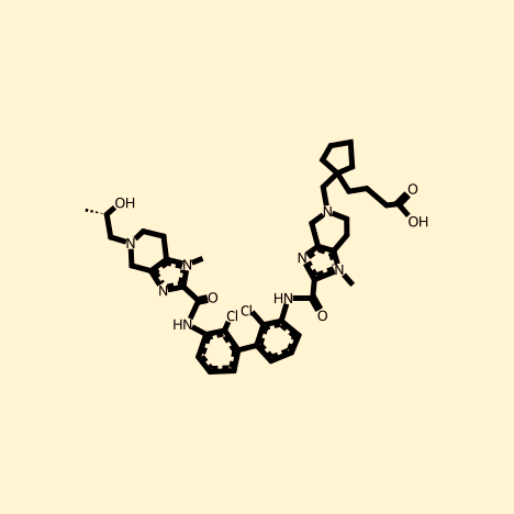 C[C@H](O)CN1CCc2c(nc(C(=O)Nc3cccc(-c4cccc(NC(=O)c5nc6c(n5C)CCN(CC5(CCCC(=O)O)CCCC5)C6)c4Cl)c3Cl)n2C)C1